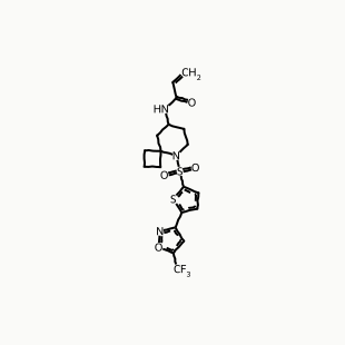 C=CC(=O)NC1CCN(S(=O)(=O)c2ccc(-c3cc(C(F)(F)F)on3)s2)C2(CCC2)C1